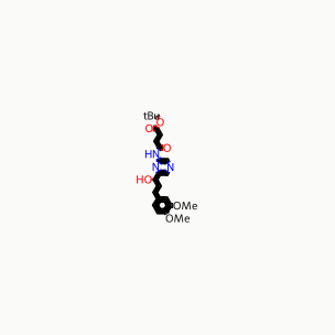 COc1ccc(CC[C@@H](O)c2cncc(NC(=O)CCC(=O)OC(C)(C)C)n2)cc1OC